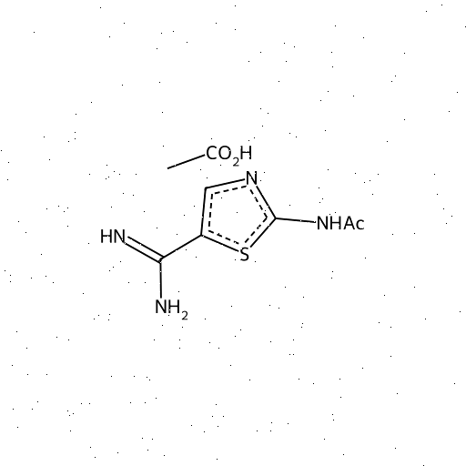 CC(=O)Nc1ncc(C(=N)N)s1.CC(=O)O